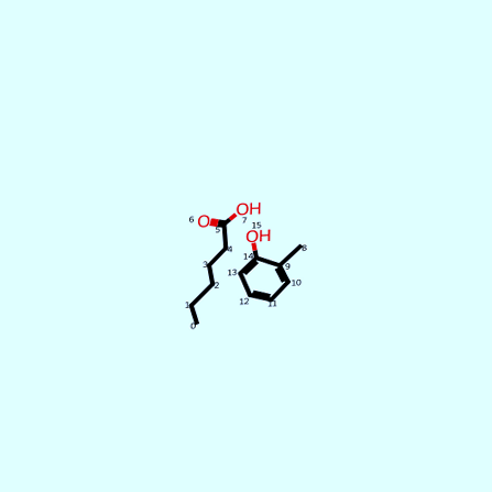 CCCCCC(=O)O.Cc1ccccc1O